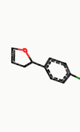 Brc1ccc([C]2CC=CO2)cc1